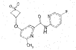 Cc1cc(OC2CS(=O)(=O)C2)cc(C(=O)Nc2ccc(F)cn2)n1